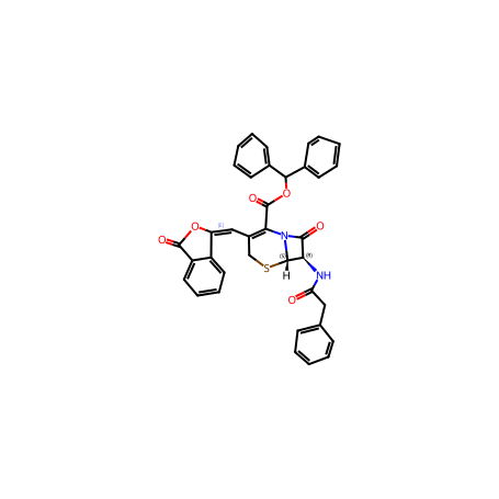 O=C(Cc1ccccc1)N[C@@H]1C(=O)N2C(C(=O)OC(c3ccccc3)c3ccccc3)=C(/C=C3/OC(=O)c4ccccc43)CS[C@@H]12